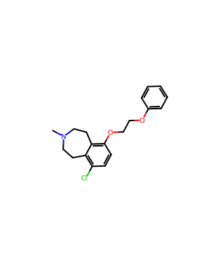 CN1CCc2c(Cl)ccc(OCCOc3ccccc3)c2CC1